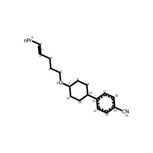 CCC/C=C/CCCOC1CCC(c2ccc(C#N)cc2)CC1